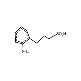 Nc1ccccc1CCCS(=O)(=O)O